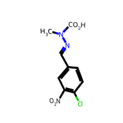 CN(N=Cc1ccc(Cl)c([N+](=O)[O-])c1)C(=O)O